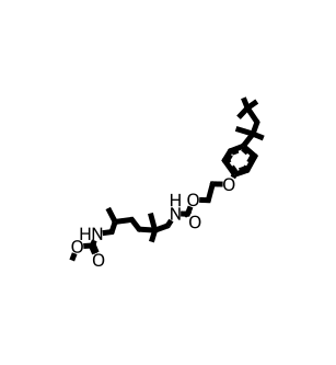 COC(=O)NCC(C)CCC(C)(C)CNC(=O)OCCOc1ccc(C(C)(C)CC(C)(C)C)cc1